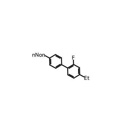 CCCCCCCCCc1ccc(-c2ccc(CC)cc2F)cc1